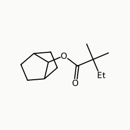 CCC(C)(C)C(=O)OC1C2CCC1CC2